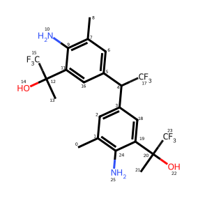 Cc1cc(C(c2cc(C)c(N)c(C(C)(O)C(F)(F)F)c2)C(F)(F)F)cc(C(C)(O)C(F)(F)F)c1N